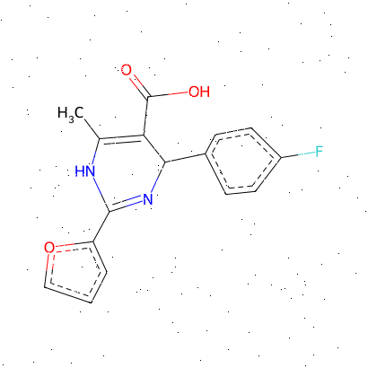 CC1=C(C(=O)O)C(c2ccc(F)cc2)N=C(c2ccco2)N1